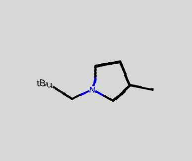 CC1CCN(CC(C)(C)C)C1